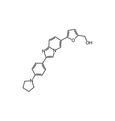 OCc1ccc(-c2ccc3nc(-c4ccc(N5CCCC5)cc4)cn3c2)o1